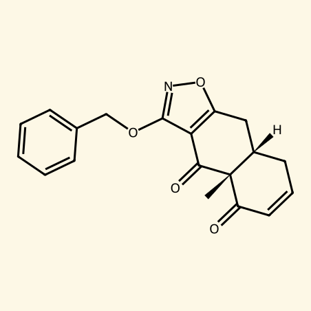 C[C@]12C(=O)C=CC[C@H]1Cc1onc(OCc3ccccc3)c1C2=O